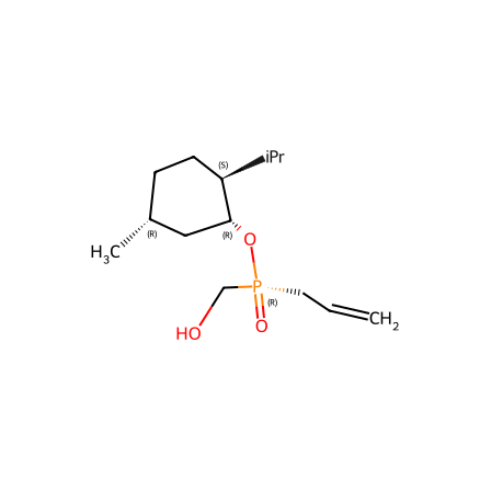 C=CC[P@](=O)(CO)O[C@@H]1C[C@H](C)CC[C@H]1C(C)C